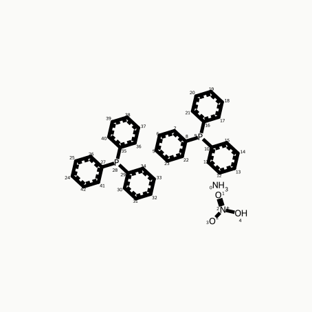 N.O=[N+]([O-])O.c1ccc(P(c2ccccc2)c2ccccc2)cc1.c1ccc(P(c2ccccc2)c2ccccc2)cc1